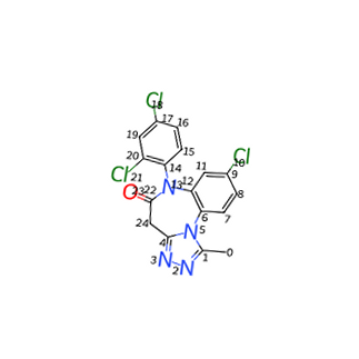 Cc1nnc2n1-c1ccc(Cl)cc1N(c1ccc(Cl)cc1Cl)C(=O)C2